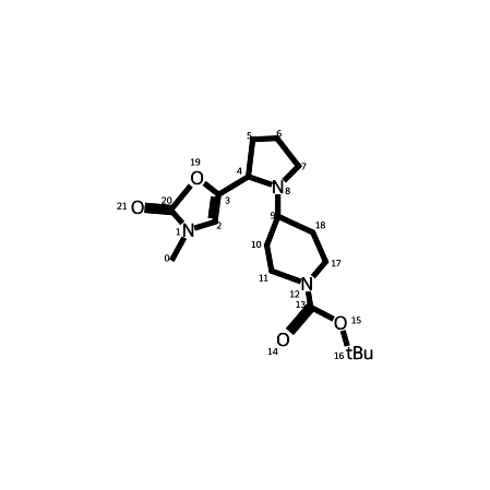 Cn1cc(C2CCCN2C2CCN(C(=O)OC(C)(C)C)CC2)oc1=O